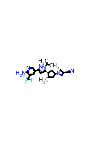 CC(C)n1nc(-c2cnc(N)c(C(F)(F)F)c2)cc1[C@H]1CC(N2CC(C#N)C2)C[C@@H]1C